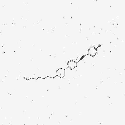 C=CCCCCCC[C@H]1CC[C@H](c2ccc(C#Cc3ccc(CC)cc3)cc2)CC1